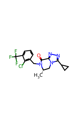 C[C@H]1Cn2c(nnc2C2CC2)C(=O)N1Cc1cccc(C(F)(F)F)c1Cl